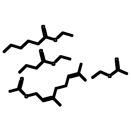 CC(=O)OCC=C(C)CCC=C(C)C.CCCC(=O)OCC.CCCCCC(=O)OCC.CCOC(C)=O